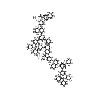 CC1(C)c2ccc(-c3ccc(-c4cc(-c5ccc6c(c5)C(c5ccccc5)(c5ccc(-c7cccc8cc9c(cc78)C(C)(C)c7ccc(-c8ccc(-c%10cc(-c%11ccc%12c(c%11)-c%11ccccc%11C%12(c%11ccccc%11)c%11ccccc%11)nc(-c%11ccccc%11)n%10)c%10ccccc8%10)cc7-9)cc5)c5ccccc5-6)nc(-c5ccccc5)n4)c4ccccc34)cc2-c2cc3ccccc3cc21